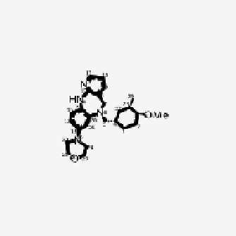 CO[C@H]1CC[C@H](CN2Cc3cccnc3Nc3ccc(N4CCOCC4)cc32)C[C@H]1C